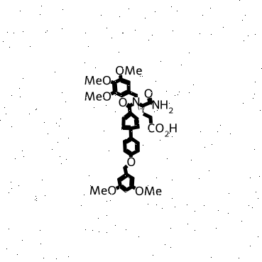 COc1cc(COc2ccc(-c3ccc(C(=O)N(Cc4cc(OC)c(OC)c(OC)c4)[C@@H](CCC(=O)O)C(N)=O)cc3)cc2)cc(OC)c1